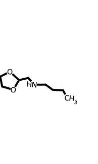 CCCCNCC1OCCO1